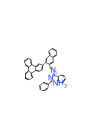 N/C(=N\C(=N/Cc1cc2ccccc2cc1-c1ccc2c3ccccc3c3ccccc3c2c1)c1ccccc1)c1ccccc1